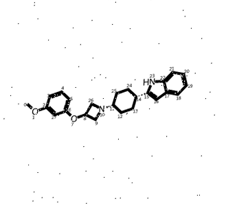 COc1cccc(OC2CN([C@H]3CC[C@@H](c4cc5ccccc5[nH]4)CC3)C2)c1